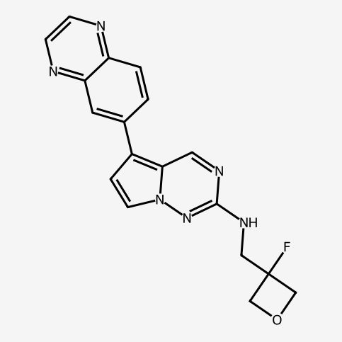 FC1(CNc2ncc3c(-c4ccc5nccnc5c4)ccn3n2)COC1